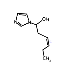 CC/C=C\CC(O)n1ccnc1